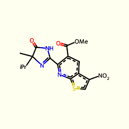 COC(=O)c1cc2c([N+](=O)[O-])csc2nc1C1=NC(C)(C(C)C)C(=O)N1